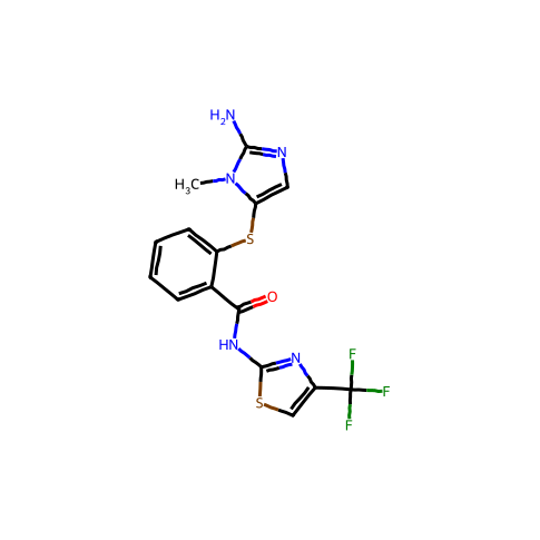 Cn1c(Sc2ccccc2C(=O)Nc2nc(C(F)(F)F)cs2)cnc1N